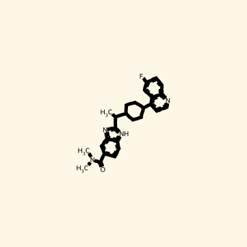 CC(c1nc2cc(C(=O)N(C)C)ccc2[nH]1)C1CCC(c2ccnc3ccc(F)cc23)CC1